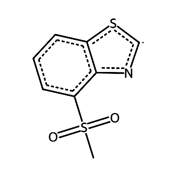 CS(=O)(=O)c1cccc2s[c]nc12